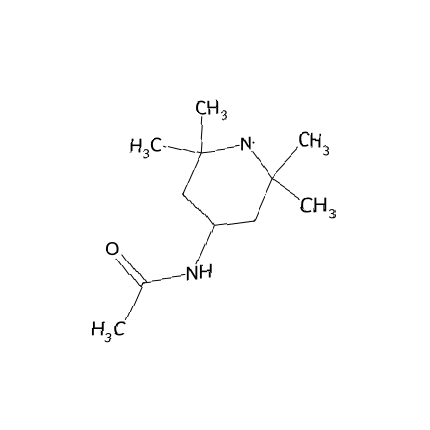 CC(=O)NC1CC(C)(C)[N]C(C)(C)C1